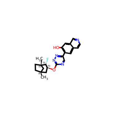 C[C@@]12CC[C@@](C)(C1)[C@H](F)[C@@H](Oc1ncc(-c3cc4ccncc4cc3O)nn1)C2